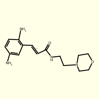 Nc1ccc(N)c(/C=C/C(=O)NCCN2CCOCC2)c1